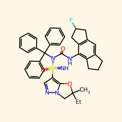 CCC1(C)Cn2ncc(S(=N)(=O)N(C(=O)Nc3c4c(cc5c3C[C@@H](F)C5)CCC4)C(c3ccccc3)(c3ccccc3)c3ccccc3)c2O1